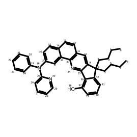 CCCCC1(CCCC)c2cc3ccc4ccc(N(c5ccccc5)c5ccccn5)cc4c3nc2-c2c(O)cccc21